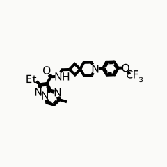 CCc1nn2ccc(C)nc2c1C(=O)NCC1CC2(CCN(c3ccc(OC(F)(F)F)cc3)CC2)C1